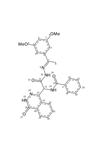 COc1cc(OC)cc(/C(C)=N/NC(=O)C(NC(=O)c2ccccc2)c2n[nH]c(=O)c3ccccc23)c1